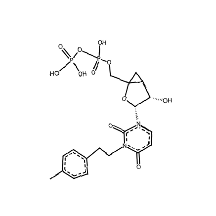 Cc1ccc(CCn2c(=O)ccn([C@@H]3OC4(COP(=O)(O)OP(=O)(O)O)CC4[C@@H]3O)c2=O)cc1